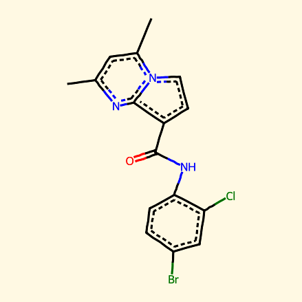 Cc1cc(C)n2ccc(C(=O)Nc3ccc(Br)cc3Cl)c2n1